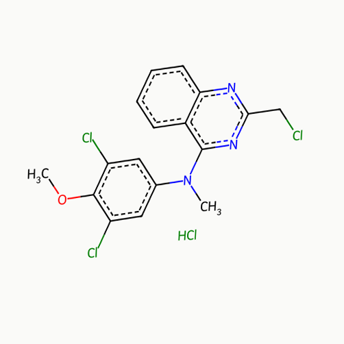 COc1c(Cl)cc(N(C)c2nc(CCl)nc3ccccc23)cc1Cl.Cl